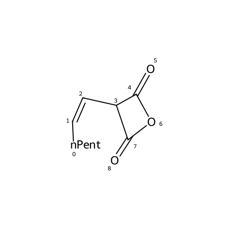 CCCCC/C=C\C1C(=O)OC1=O